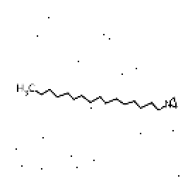 CCCCCCCCCCCCCCCCN1CC1